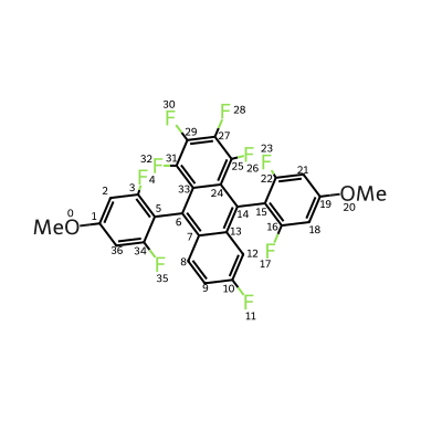 COc1cc(F)c(-c2c3ccc(F)cc3c(-c3c(F)cc(OC)cc3F)c3c(F)c(F)c(F)c(F)c23)c(F)c1